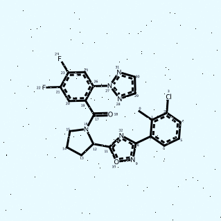 Cc1c(Cl)cccc1-c1noc(C2CCCN2C(=O)c2cc(F)c(F)cc2-n2nccn2)n1